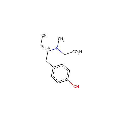 CN(CC(=O)O)[C@@H](CC#N)Cc1ccc(O)cc1